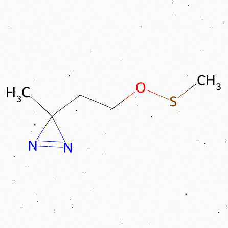 CSOCCC1(C)N=N1